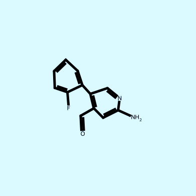 Nc1cc(C=O)c(-c2ccccc2F)cn1